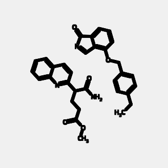 CCc1ccc(COc2cccc3c2C=NC3=O)cc1.COC(=O)CCC(C(N)=O)c1ccc2ccccc2n1